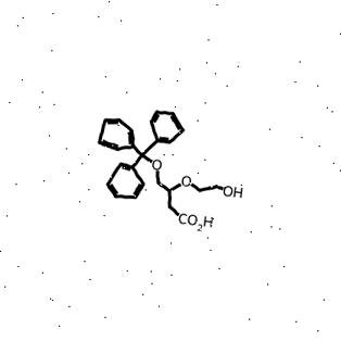 O=C(O)CC(COC(c1ccccc1)(c1ccccc1)c1ccccc1)OCCO